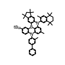 Cc1cc2c3c(c1)N(c1cc4c(cc1C)C(C)(C)CCC4(C)C)c1cc4c(cc1B3c1cc(C(C)(C)C)ccc1N2c1ccc(-c2ccccc2)cc1C)C(C)(C)CC4(C)C